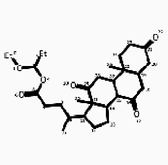 CCOC(CC)OC(=O)CCC(C)C1CCC2C3C(=O)CC4CC(=O)CCC4(C)C3CC(=O)C12C